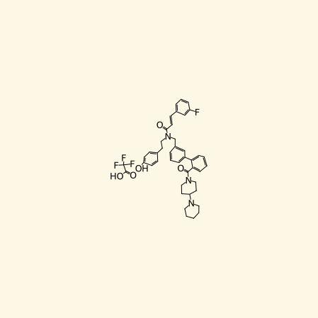 O=C(/C=C/c1cccc(F)c1)N(CCc1ccc(O)cc1)Cc1cccc(-c2ccccc2C(=O)N2CCC(N3CCCCC3)CC2)c1.O=C(O)C(F)(F)F